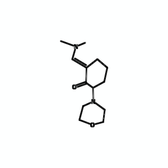 CN(C)C=C1CCCC(N2CCOCC2)C1=O